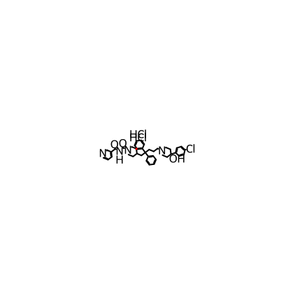 Cl.Cl.O=C(NC(=O)N1CCC(CC(CCCN2CCC(O)(c3ccc(Cl)cc3)CC2)(c2ccccc2)c2ccccc2)CC1)c1cccnc1